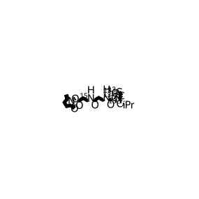 C=C1CCC(=O)N1OC(=O)CC[15NH]C(=O)CCNC(=O)[13CH]1[13CH2][13CH2][13CH2]N1[13CH2][13CH]([13CH3])[13CH3]